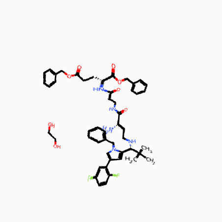 CC(C)(C)[C@@H](NCC[C@H](N)C(=O)NCCC(=O)N[C@H](CCC(=O)OCc1ccccc1)C(=O)OCc1ccccc1)c1cc(-c2cc(F)ccc2F)cn1Cc1ccccc1.OCCO